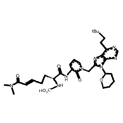 CN(C)C(=O)/C=C/CC[C@H](NC(=O)O)C(=O)Nc1cccn(Cc2nc3c(CCC(C)(C)C)ncnc3n2C2CCCCO2)c1=O